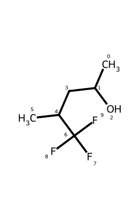 CC(O)CC(C)C(F)(F)F